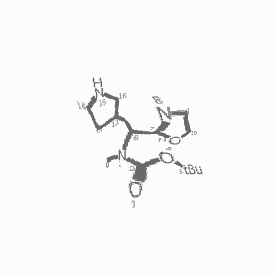 CN(C(=O)OC(C)(C)C)C(c1ncco1)C1CCNC1